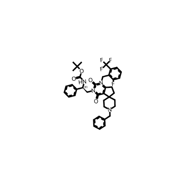 CC(C)(C)OC(=O)N[C@@H](Cn1c(=O)c2c(n(Cc3c(F)cccc3C(F)(F)F)c1=O)CCC21CCN(Cc2ccccc2)CC1)c1ccccc1